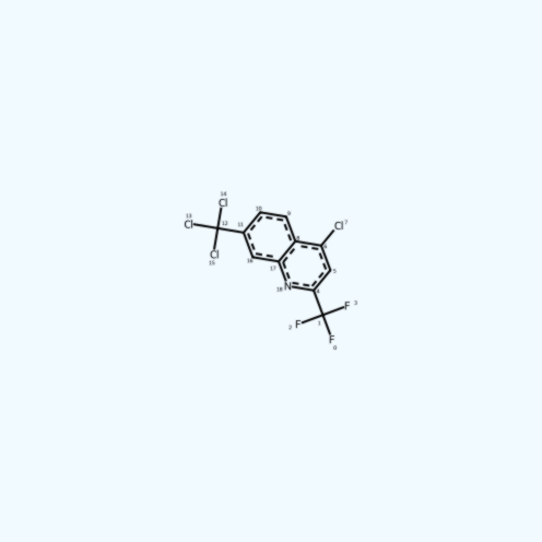 FC(F)(F)c1cc(Cl)c2ccc(C(Cl)(Cl)Cl)cc2n1